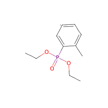 CCOP(=O)(OCC)c1c[c]ccc1C